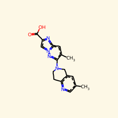 Cc1cnc2c(c1)CN(c1nn3cc(C(=O)O)nc3cc1C)CC2